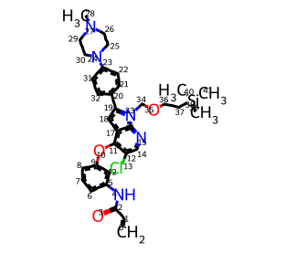 C=CC(=O)Nc1cccc(Oc2c(Cl)cnc3c2cc(-c2ccc(N4CCN(C)CC4)cc2)n3COCC[Si](C)(C)C)c1